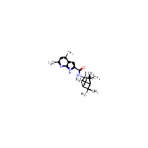 Cc1cc(C)c2cc(C(=O)N[C@H]3CC4C(C)(C)C(C4(C)C)C3(C)C)[nH]c2n1